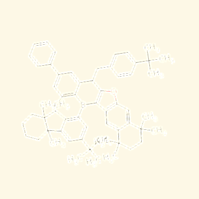 Cc1cc(-c2ccccc2)cc2c1B(c1cc(C(C)(C)C)cc3c1CC1(C)CCCCC31C)c1c(oc3cc4c(cc13)C(C)(C)CCC4(C)C)C2Cc1ccc(C(C)(C)C)cc1